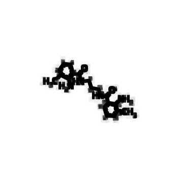 Cc1cccc(C(=O)NCCCNC(=O)c2cccc(C)c2N)c1N